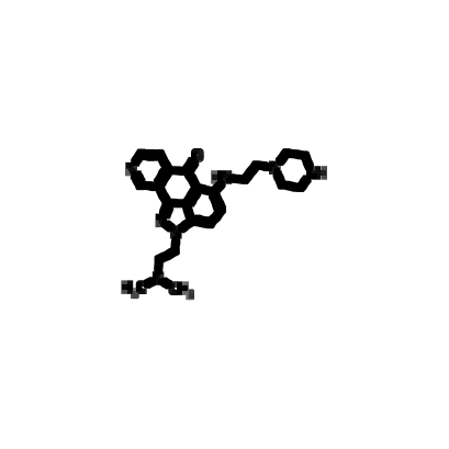 CN(C)CCn1nc2c3c(c(NCCN4CCNCC4)ccc31)C(=O)c1ccncc1-2